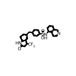 O=c1cc(C(F)(F)F)c2cc(Cc3ccc(S(=O)(=O)Nc4cccc5cnccc45)cc3)ccc2[nH]1